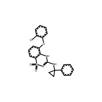 O=S1(=O)N=C(NC2(c3ccccc3)CC2)Nc2c(Oc3ccccc3Cl)cccc21